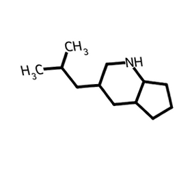 CC(C)CC1CNC2CCCC2C1